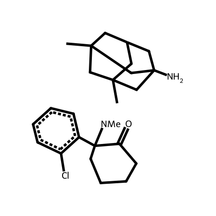 CC12CC3CC(C)(C1)CC(N)(C3)C2.CNC1(c2ccccc2Cl)CCCCC1=O